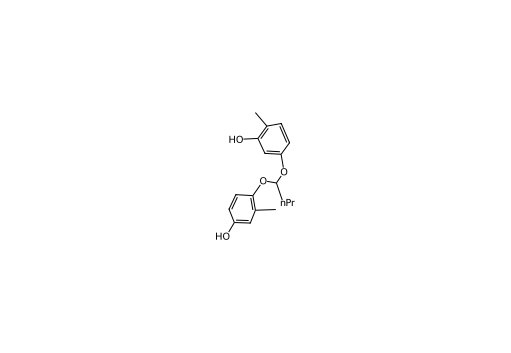 CCCC(Oc1ccc(C)c(O)c1)Oc1ccc(O)cc1C